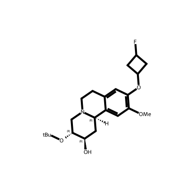 COc1cc2c(cc1OC1CC(F)C1)CCN1C[C@@H](OC(C)(C)C)[C@H](O)C[C@H]21